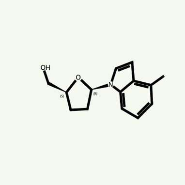 Cc1cccc2c1ccn2[C@H]1CC[C@@H](CO)O1